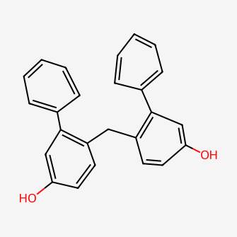 Oc1ccc(Cc2ccc(O)cc2-c2ccccc2)c(-c2ccccc2)c1